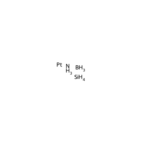 B.N.[Pt].[SiH4]